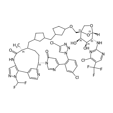 C[C@H]1C(=O)Nc2cnn(C(F)F)c2-c2ccnc(c2)[C@@H](n2cnc(-c3cc(Cl)ccc3-n3cc(Cl)nn3)cc2=O)CCC1CC1CCC(CC2CCC(OC[C@@]34CO[C@@H](O3)[C@H](Nc3ncc(C(F)(F)F)c(Cl)n3)[C@@H](O)[C@H]4O)C2)C1